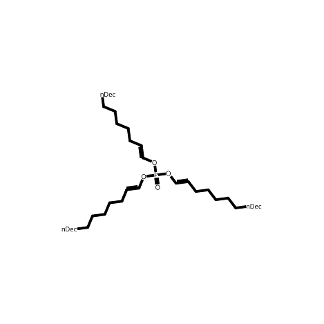 CCCCCCCCCCCCCCC/C=C/OP(=O)(O/C=C/CCCCCCCCCCCCCCC)O/C=C/CCCCCCCCCCCCCCC